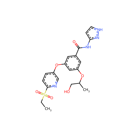 CCS(=O)(=O)c1ccc(Oc2cc(OC(C)CO)cc(C(=O)Nc3cc[nH]n3)c2)cn1